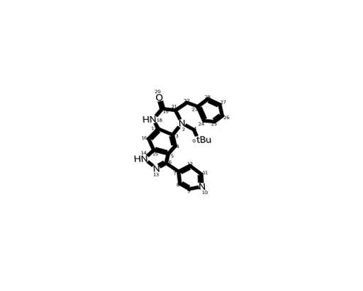 CC(C)(C)CN1c2cc3c(-c4ccncc4)n[nH]c3cc2NC(=O)C1Cc1ccccc1